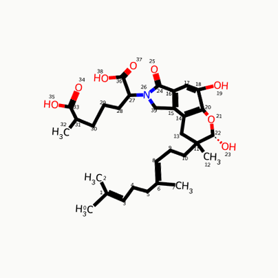 CC(C)=CCC/C(C)=C/CCC1(C)Cc2c3c(cc(O)c2O[C@@H]1O)C(=O)N(C(CCCC(C)C(=O)O)C(=O)O)C3